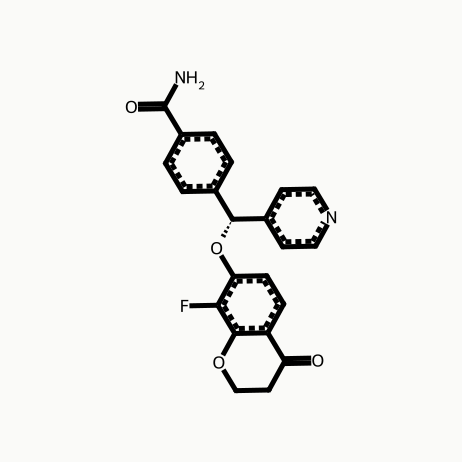 NC(=O)c1ccc([C@@H](Oc2ccc3c(c2F)OCCC3=O)c2ccncc2)cc1